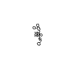 O=C(NCc1ccc(Cl)c(Cl)c1)NC1CN(Cc2ccccc2)C1